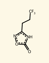 O=c1[nH]c(CCC(F)(F)F)no1